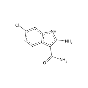 NC(=O)c1c(N)[nH]c2cc(Cl)ccc12